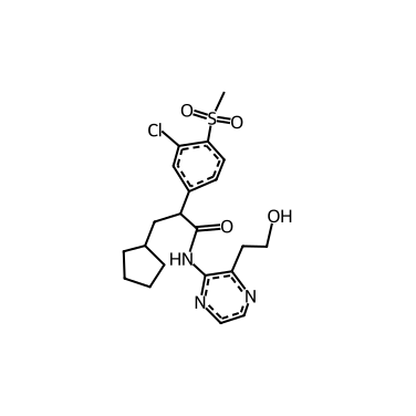 CS(=O)(=O)c1ccc(C(CC2CCCC2)C(=O)Nc2nccnc2CCO)cc1Cl